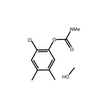 CNC(=O)Oc1cc(C)c(C)cc1Cl.CO